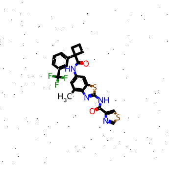 Cc1cc(NC(=O)C2(c3cccc(C(F)(F)F)c3)CCC2)cc2sc(NC(=O)c3cscn3)nc12